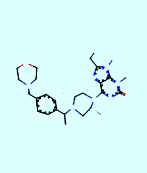 CCn1c(CC#N)nc2c(N3C[C@@H](C)N(C(C)c4ccc(CN5CCOCC5)cc4)C[C@@H]3C)nc(=O)n(C)c21